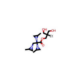 CCC(CO)(CO)COC(=O)C(CN1CC1C)(N1CC1C)N1CC1C